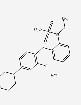 CS(=O)(=O)N(CC(F)(F)F)c1ccccc1Cc1ccc(C2CCNCC2)cc1F.Cl